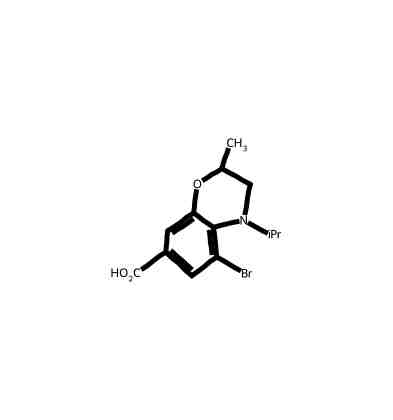 CC1CN(C(C)C)c2c(Br)cc(C(=O)O)cc2O1